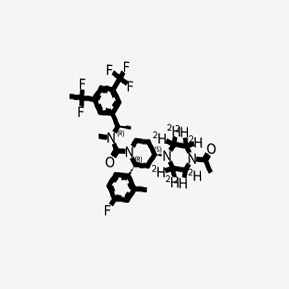 [2H]C1([2H])N(C(C)=O)C([2H])([2H])C([2H])([2H])N([C@H]2CCN(C(=O)N(C)[C@H](C)c3cc(C(C)(F)F)cc(C(F)(F)F)c3)[C@@H](c3ccc(F)cc3C)C2)C1([2H])[2H]